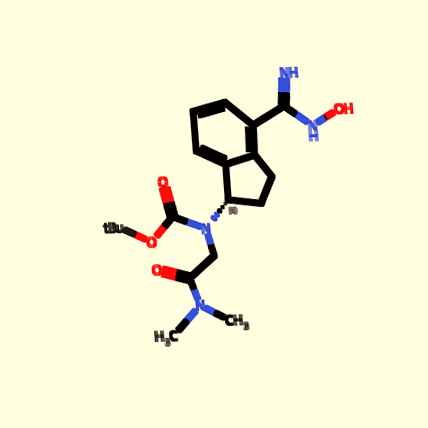 CN(C)C(=O)CN(C(=O)OC(C)(C)C)[C@H]1CCc2c(C(=N)NO)cccc21